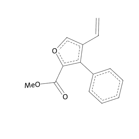 C=Cc1coc(C(=O)OC)c1-c1ccccc1